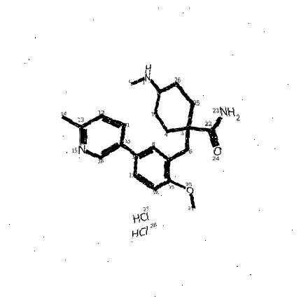 CNC1CCC(Cc2cc(-c3ccc(C)nc3)ccc2OC)(C(N)=O)CC1.Cl.Cl